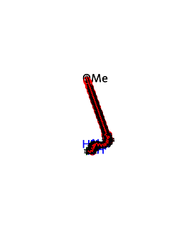 COCCOCCOCCOCCOCCOCCOCCOCCOCCOCCOCCOCCOCCOCCOCCOCCOCCOCCOCCOCCOCCOCCOC(=O)OCN1C(=O)CCC(N2Cc3cc(N4CCC(CN5CCN(c6ccc(-c7cnc8[nH]cc(C(=O)c9c(F)ccc(NS(=O)(=O)N%10CC[C@@H](F)C%10)c9F)c8c7)cc6)CC5)CC4)ccc3C2=O)C1=O